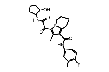 Cc1cc(NC(=O)c2c(C)c(C(=O)C(=O)N[C@H]3CCC[C@H]3O)n3c2CCCC3)ccc1F